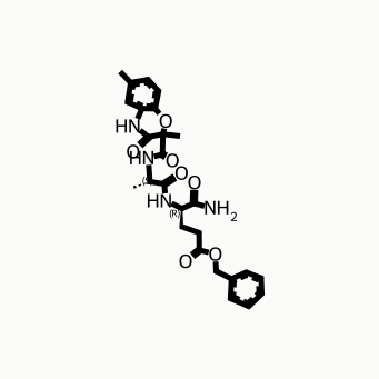 Cc1ccc2c(c1)NC(=O)C(C)(C(=O)N[C@@H](C)C(=O)N[C@H](CCC(=O)OCc1ccccc1)C(N)=O)O2